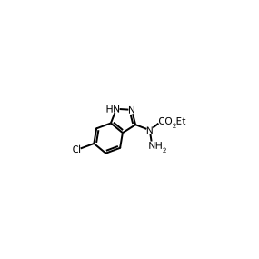 CCOC(=O)N(N)c1n[nH]c2cc(Cl)ccc12